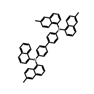 Cc1ccc2c(N(c3ccc(-c4ccc(N(c5cccc6cc(C)ccc56)c5cccc6cc(C)ccc56)cc4)cc3)c3cccc4ccccc34)cccc2c1